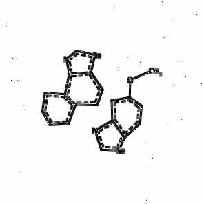 COc1ccc2[se]cnc2c1.c1ccc2c(c1)ccc1[se]cnc12